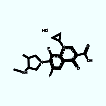 CNC1CN(c2c(F)cc3c(=O)c(C(=O)O)cn(C4CC4)c3c2F)CC1C.Cl